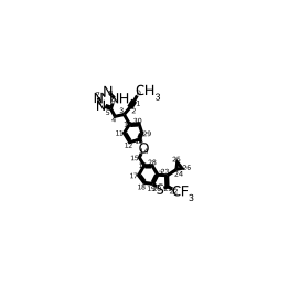 CC#CC(Cc1nnn[nH]1)c1ccc(OCc2ccc3sc(C(F)(F)F)c(C4CC4)c3c2)cc1